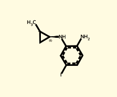 C[C]1C[C@@H]1Nc1cc(I)ccc1N